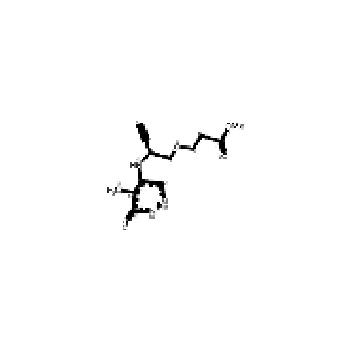 C#CC(COCCC(=O)OC)Nc1cn[nH]c(=O)c1C(F)(F)F